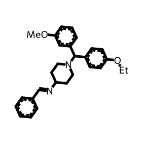 CCOc1ccc(C(c2cccc(OC)c2)N2CCC(/N=C/c3ccccc3)CC2)cc1